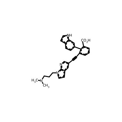 CN(C)CCCn1ccc2cc(C#Cc3cccc(C(=O)O)c3-c3ccc4cc[nH]c4c3)cnc21